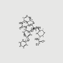 CCC(=O)N[C@H]1CCC[C@H](NC(=O)c2sc3nccc4c3c2N(c2cnc(Oc3ccccc3)cc2C)C(=O)N4)C1